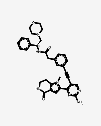 Cn1c(-c2nc(N)ncc2C#Cc2cccc(CC(=O)N[C@H](CN3CCOCC3)c3ccccc3)c2)cc2c1CCNC2=O